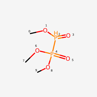 CO[PH](=O)P(=O)(OC)OC